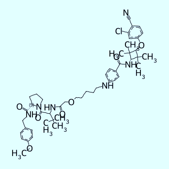 COc1ccc(CNC(=O)[C@@H]2CCCN2C(=O)C(NC(=O)COCCCCCNc2ccc(C(=O)N[C@H]3C(C)(C)[C@H](Oc4ccc(C#N)c(Cl)c4)C3(C)C)cc2)C(C)(C)C)cc1